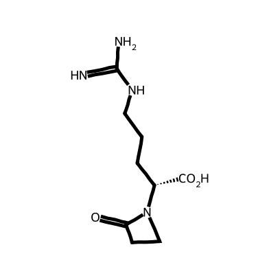 N=C(N)NCCC[C@H](C(=O)O)N1CCC1=O